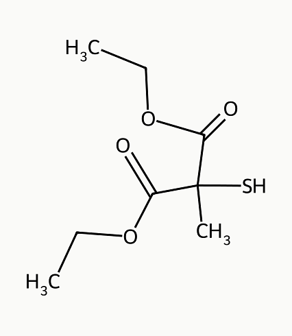 CCOC(=O)C(C)(S)C(=O)OCC